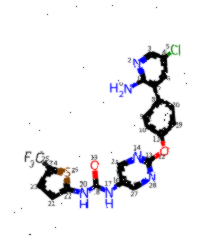 Nc1ncc(Cl)cc1-c1ccc(Oc2ncc(NC(=O)Nc3ccc(C(F)(F)F)s3)cn2)cc1